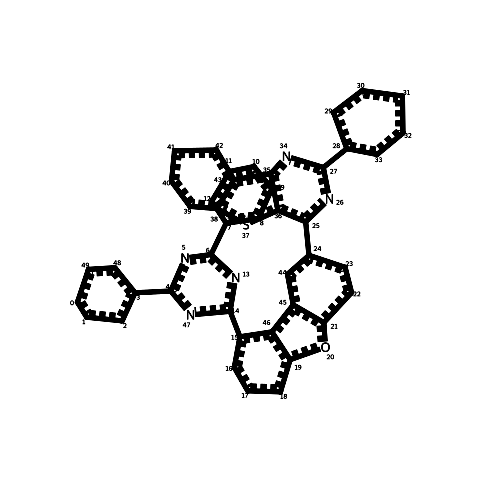 c1ccc(-c2nc(-c3ccccc3)nc(-c3cccc4oc5ccc(-c6nc(-c7ccccc7)nc7c6sc6ccccc67)cc5c34)n2)cc1